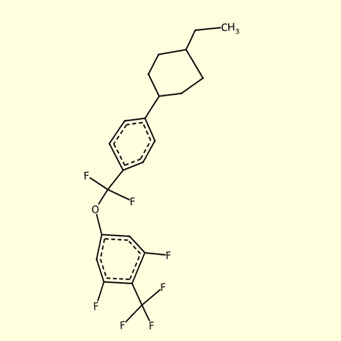 CCC1CCC(c2ccc(C(F)(F)Oc3cc(F)c(C(F)(F)F)c(F)c3)cc2)CC1